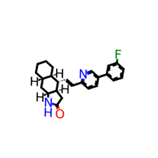 O=C1C[C@@H]2[C@@H](/C=C/c3ccc(-c4cccc(F)c4)cn3)[C@@H]3CCCC[C@H]3C[C@H]2N1